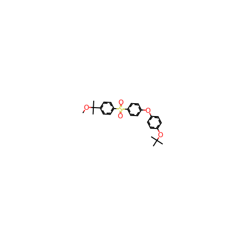 COC(C)(C)c1ccc(S(=O)(=O)c2ccc(Oc3ccc(OC(C)(C)C)cc3)cc2)cc1